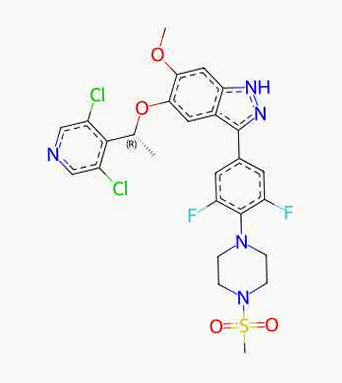 COc1cc2[nH]nc(-c3cc(F)c(N4CCN(S(C)(=O)=O)CC4)c(F)c3)c2cc1O[C@H](C)c1c(Cl)cncc1Cl